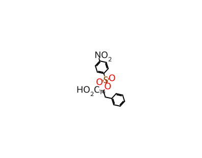 O=C(O)[C@@H](Cc1ccccc1)OS(=O)(=O)c1ccc([N+](=O)[O-])cc1